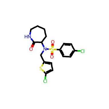 O=C1NCCCCC1N(Cc1ccc(Cl)s1)S(=O)(=O)c1ccc(Cl)cc1